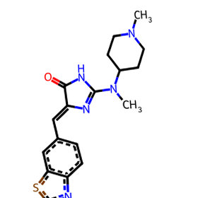 CN1CCC(N(C)C2=N/C(=C\c3ccc4ncsc4c3)C(=O)N2)CC1